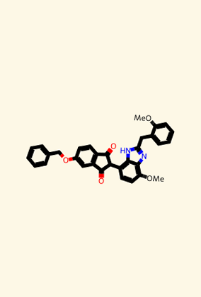 COc1ccccc1Cc1nc2c(OC)ccc(C3C(=O)c4ccc(OCc5ccccc5)cc4C3=O)c2[nH]1